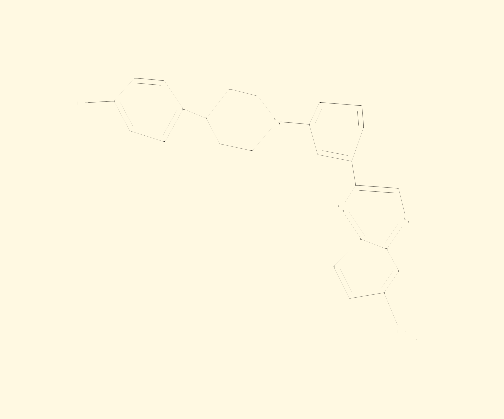 O=C(O)c1ccc2nc(-c3cccc(N4CCC(c5ccc(Cl)cc5)CC4)c3)cnc2c1